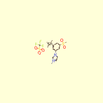 C[n+]1ccn(-c2cc(S(C)(=O)=O)c[c]([Sn]([CH3])([CH3])[CH3])c2)c1.O=S(=O)([O-])C(F)(F)F